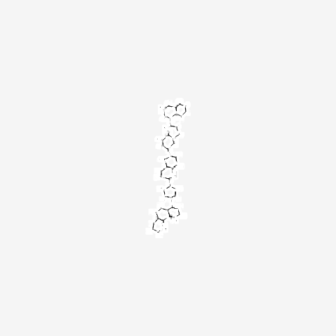 c1ccc2c(-c3ccc4cc(-c5ccc6nc(-c7ccc(-c8ccnc9c8ccc8cccnc89)cc7)ccc6c5)ccc4n3)cncc2c1